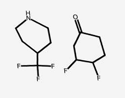 FC(F)(F)C1CCNCC1.O=C1CCC(F)C(F)C1